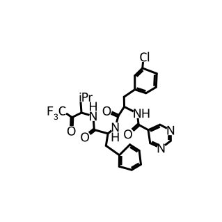 CC(C)C(NC(=O)C(Cc1ccccc1)NC(=O)C(Cc1cccc(Cl)c1)NC(=O)c1cncnc1)C(=O)C(F)(F)F